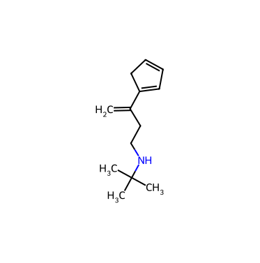 C=C(CCNC(C)(C)C)C1=CC=CC1